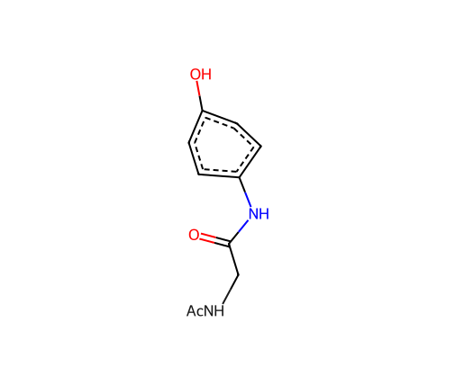 CC(=O)NCC(=O)Nc1ccc(O)cc1